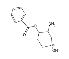 NC1C[C@H](O)CCC1OC(=O)c1ccccc1